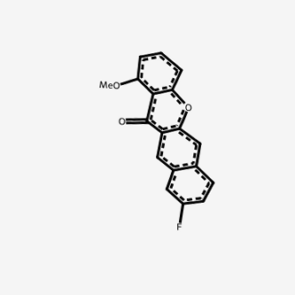 COc1cccc2oc3cc4ccc(F)cc4cc3c(=O)c12